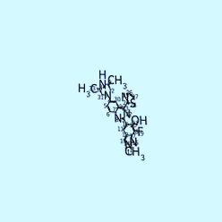 C[C@@H]1CN(c2ccc3nc(-c4cc5cn(C)nc5c(F)c4O)nc(-c4nccs4)c3c2)C[C@@H](C)N1